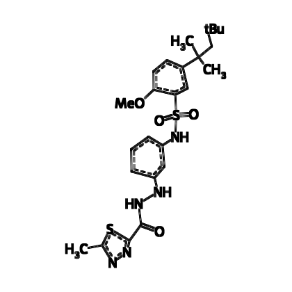 COc1ccc(C(C)(C)CC(C)(C)C)cc1S(=O)(=O)Nc1cccc(NNC(=O)c2nnc(C)s2)c1